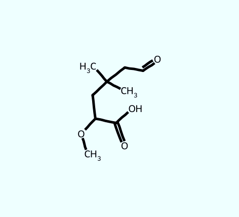 COC(CC(C)(C)CC=O)C(=O)O